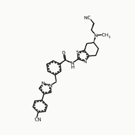 CN(CCC#N)[C@H]1CCc2nc(NC(=O)c3cccc(Cn4cc(-c5ccc(C#N)cc5)cn4)c3)sc2C1